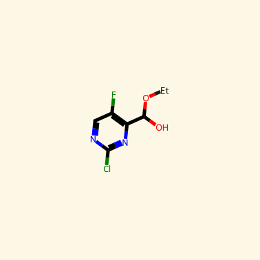 CCOC(O)c1nc(Cl)ncc1F